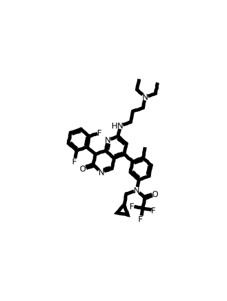 CCN(CC)CCCNc1cc(-c2cc(N(CC3CC3)C(=O)C(F)(F)F)ccc2C)c2c(n1)C(c1c(F)cccc1F)C(=O)N=C2